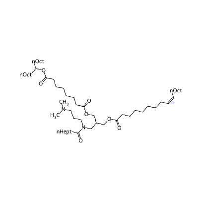 CCCCCCCC/C=C\CCCCCCCC(=O)OCC(COC(=O)CCCCCCC(=O)OC(CCCCCCCC)CCCCCCCC)CN(CCCN(C)C)C(=O)CCCCCCC